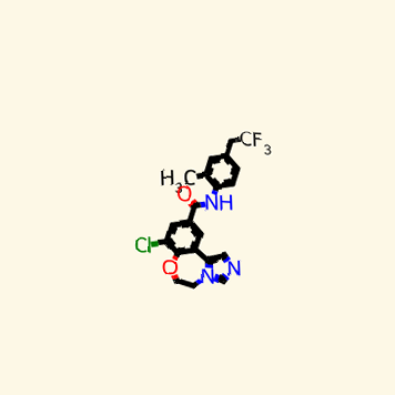 Cc1cc(CC(F)(F)F)ccc1NC(=O)c1cc(Cl)c2c(c1)-c1cncn1CCO2